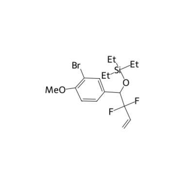 C=CC(F)(F)C(O[Si](CC)(CC)CC)c1ccc(OC)c(Br)c1